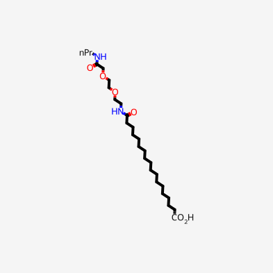 CCCNC(=O)COCCOCCNC(=O)CCCCCCCCCCCCCCCCC(=O)O